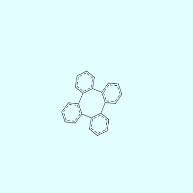 c1ccc2c(c1)-c1ccccc1-c1ccccc1-c1ccccc1-2